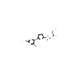 CC(=O)Nc1nc(C)c(-c2ccc(S(=O)(=O)N[C@@H](CO)C(=O)O)s2)s1